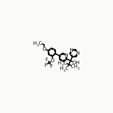 CCOc1ccc(-c2ccc(C(O)(c3cncnc3)C(C)(C)C)nc2)c(OC(F)(F)F)c1